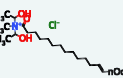 CCCCCCCCC=CCCCCCCCCCCCC(=O)[N+](C)(C(C)O)C(C)O.[Cl-]